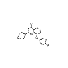 O=c1cc(N2CCOCC2)[nH]c2c(Oc3ccc(F)cc3)cccc12